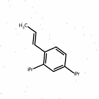 CC=Cc1ccc(C(C)C)cc1C(C)C